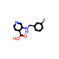 O=C(O)c1ccncc1NCc1cccc(F)c1